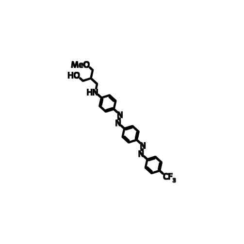 COCC(CO)CNc1ccc(N=Nc2ccc(N=Nc3ccc(C(F)(F)F)cc3)cc2)cc1